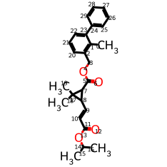 Cc1c(COC(=O)C2C(C=CC(=O)OC(C)C)C2(C)C)cccc1-c1ccccc1